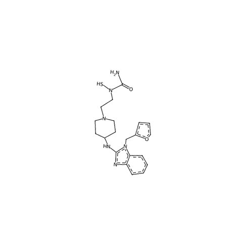 NC(=O)N(S)CCN1CCC(Nc2nc3ccccc3n2Cc2ccco2)CC1